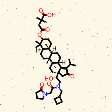 CC(C)C1=C2[C@H]3CC[C@@H]4[C@@]5(C)CCC(OC(=O)CC(C)(C)C(=O)O)C(C)(C)[C@@H]5CC[C@@]4(C)[C@]3(C)CC[C@@]2([C@@H](O)CN(CC2CCC2)C(=O)CN2CCCC2=O)CC1=O